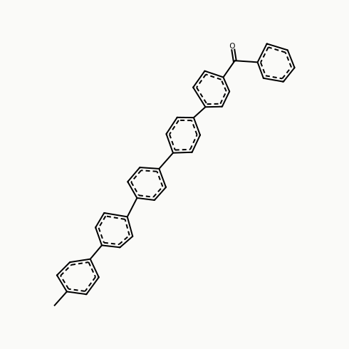 Cc1ccc(-c2ccc(-c3ccc(-c4ccc(-c5ccc(C(=O)c6ccccc6)cc5)cc4)cc3)cc2)cc1